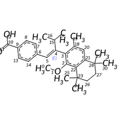 COc1c(/C(=C/c2ccc(C(=O)O)cc2)C(C)C)c(C)cc2c1C(C)(C)CCC2(C)C